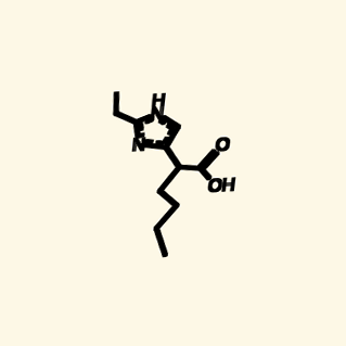 CCCCC(C(=O)O)c1c[nH]c(CC)n1